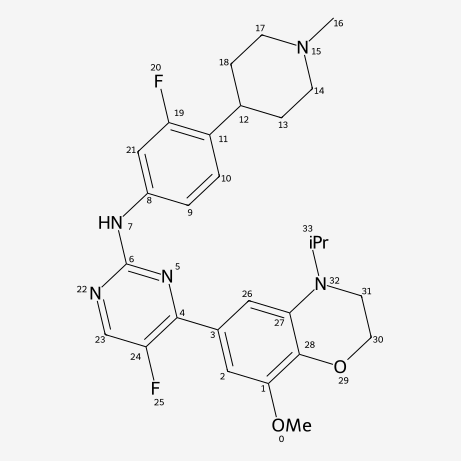 COc1cc(-c2nc(Nc3ccc(C4CCN(C)CC4)c(F)c3)ncc2F)cc2c1OCCN2C(C)C